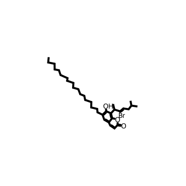 CCCCCCCCCCCCCCCCCCc1cc2ccc(=O)oc2c(C(C)C(Br)=CCC(C)C)c1O